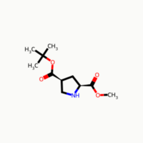 COC(=O)[C@@H]1C[C@H](C(=O)OC(C)(C)C)CN1